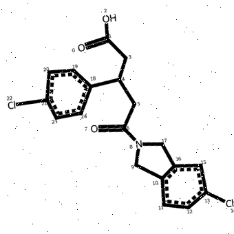 O=C(O)CC(CC(=O)N1Cc2ccc(Cl)cc2C1)c1ccc(Cl)cc1